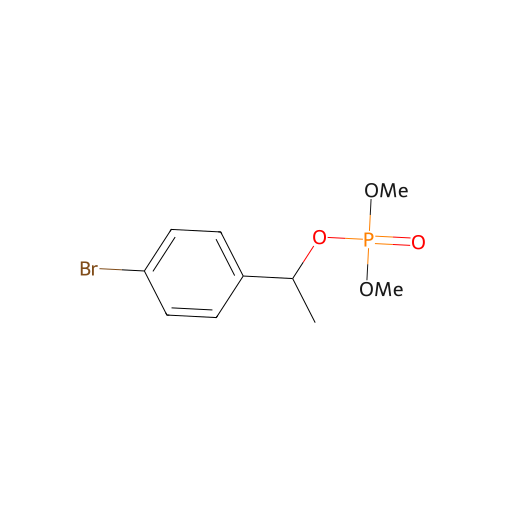 COP(=O)(OC)OC(C)c1ccc(Br)cc1